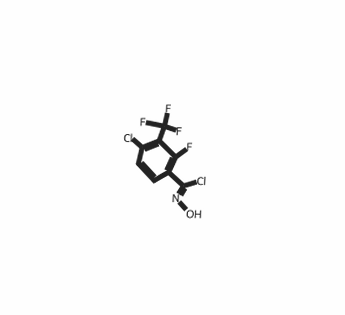 ON=C(Cl)c1ccc(Cl)c(C(F)(F)F)c1F